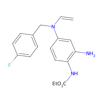 C=CN(Cc1ccc(F)cc1)c1ccc(NC(=O)OCC)c(N)c1